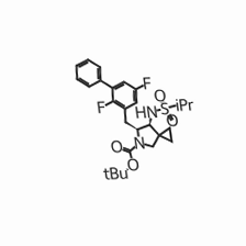 CC(C)S(=O)(=O)N[C@@H]1[C@H](Cc2cc(F)cc(-c3ccccc3)c2F)N(C(=O)OC(C)(C)C)CC12CC2